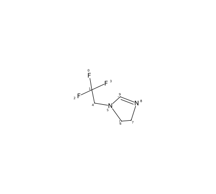 FC(F)(F)CN1[C]CN=[C]1